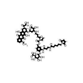 COc1cccc2c1C(=O)c1c(O)c3c(c(O)c1C2=O)C[C@@H](C(=O)CO)CC3OC1CC(NCCCC2OCCN2C(=O)OCc2ccc(O[C@@H]3O[C@H](C(=O)O)[C@@H](O)[C@H](O)[C@H]3O)c(NC(=O)CCNC(=O)CCCCCN3C(=O)C=CC3=O)c2)C(O)C(C)O1